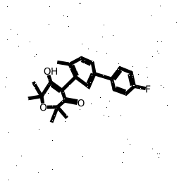 Cc1ccc(-c2ccc(F)cc2)cc1C1=C(O)C(C)(C)OC(C)(C)C1=O